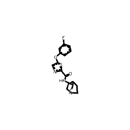 O=C(NC1CN2CCC1CC2)c1ncc(Oc2cccc(F)c2)s1